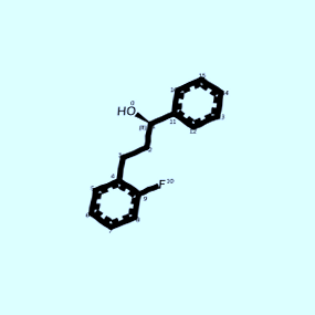 O[C@H](CCc1ccccc1F)c1ccccc1